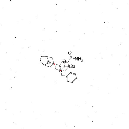 CC(C)(C)C(=O)N(CCN1C2CCC1CC(c1cccc(C(N)=O)c1)C2)Cc1ccccc1